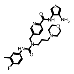 Cc1cc(NC(=O)N(CCCN2CCOCC2)Cc2ccc(C(=O)Nc3cscc3N)nc2)ccc1F